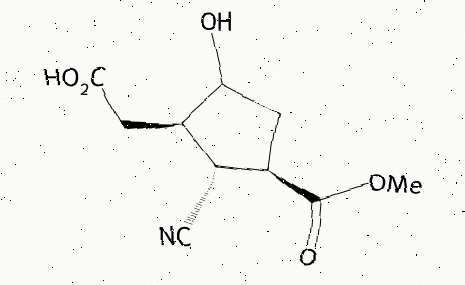 COC(=O)[C@@H]1CC(O)[C@H](CC(=O)O)[C@H]1C#N